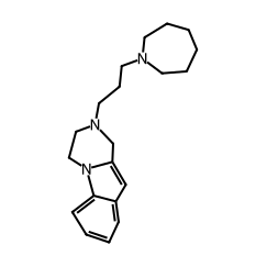 c1ccc2c(c1)cc1n2CCN(CCCN2CCCCCC2)C1